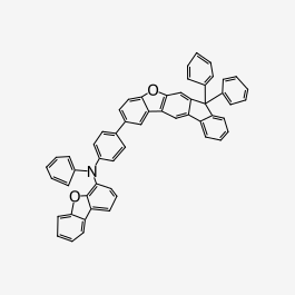 c1ccc(N(c2ccc(-c3ccc4oc5cc6c(cc5c4c3)-c3ccccc3C6(c3ccccc3)c3ccccc3)cc2)c2cccc3c2oc2ccccc23)cc1